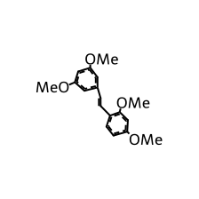 COc1cc(C=Cc2ccc(OC)cc2OC)cc(OC)c1